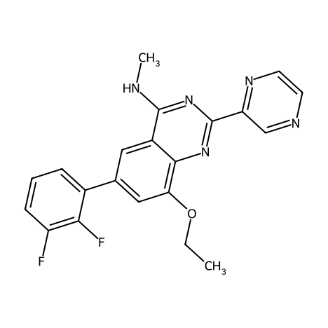 CCOc1cc(-c2cccc(F)c2F)cc2c(NC)nc(-c3cnccn3)nc12